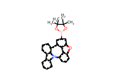 CC1(C)OB(c2cc3oc4cccc5c4c3c(c2)c2cccc3c4ccccc4n5c23)OC1(C)C